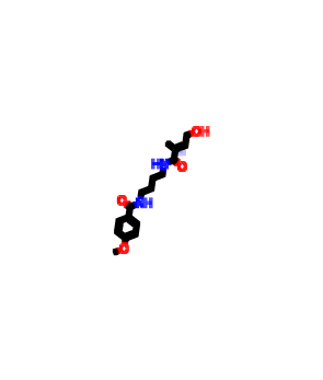 COc1ccc(C(=O)NCCCCNC(=O)/C(C)=C/CO)cc1